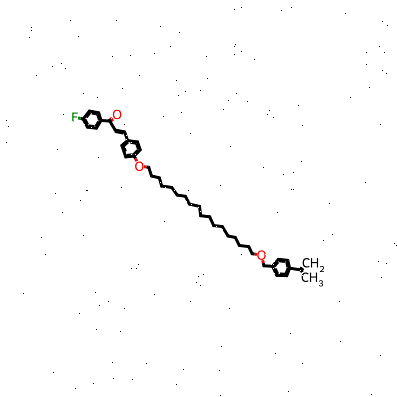 C=C(C)c1ccc(COCCCCCCCCCCCCCCCCCCOc2ccc(/C=C/C(=O)c3ccc(F)cc3)cc2)cc1